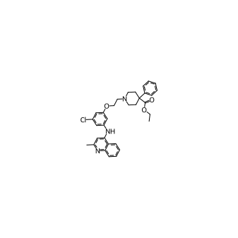 CCOC(=O)C1(c2ccccc2)CCN(CCOc2cc(Cl)cc(Nc3cc(C)nc4ccccc34)c2)CC1